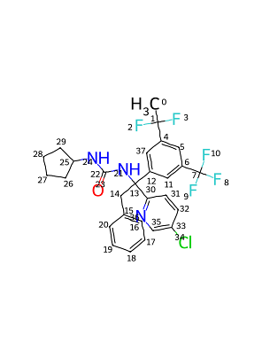 CC(F)(F)c1cc(C(F)(F)F)cc(C(Cc2ccccc2)(NC(=O)NC2CCCC2)c2ccc(Cl)cn2)c1